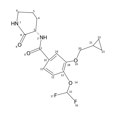 O=C(N[C@H]1CCCNC1=O)c1ccc(OC(F)F)c(OCC2CC2)c1